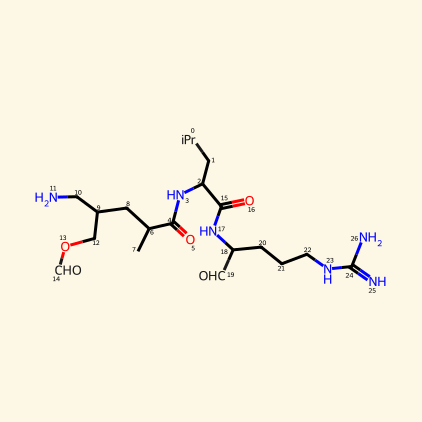 CC(C)CC(NC(=O)C(C)CC(CN)COC=O)C(=O)NC(C=O)CCCNC(=N)N